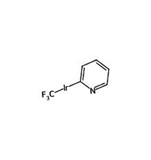 F[C](F)(F)[Ir][c]1ccccn1